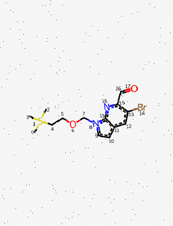 CS(C)(C)CCOCn1ccc2cc(Br)c(C=O)nc21